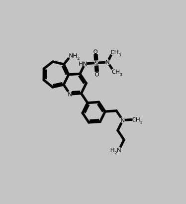 CN(CCN)Cc1cccc(-c2cc(NS(=O)(=O)N(C)C)c3c(n2)=CC=CCC=3N)c1